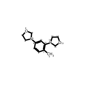 Cc1ccc(N2CCOC2)cc1N1CCOC1